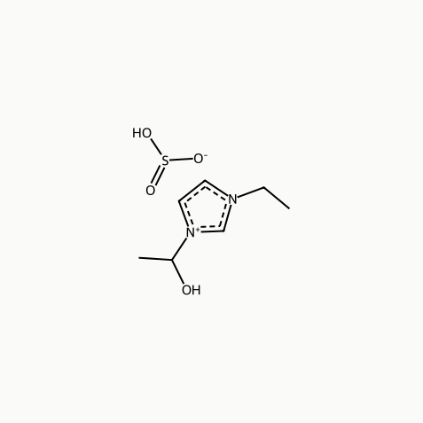 CCn1cc[n+](C(C)O)c1.O=S([O-])O